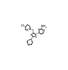 Nc1nccc(-c2sc(-c3ccncc3)nc2Cc2ccc(Cl)cc2)n1